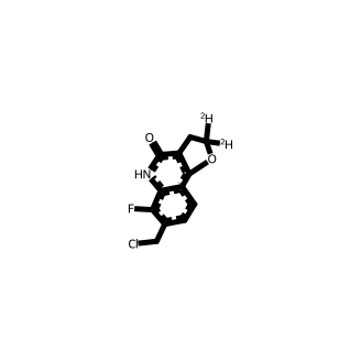 [2H]C1([2H])Cc2c(c3ccc(CCl)c(F)c3[nH]c2=O)O1